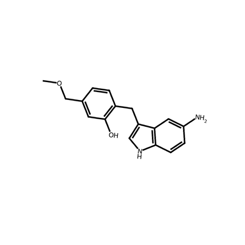 COCc1ccc(Cc2c[nH]c3ccc(N)cc23)c(O)c1